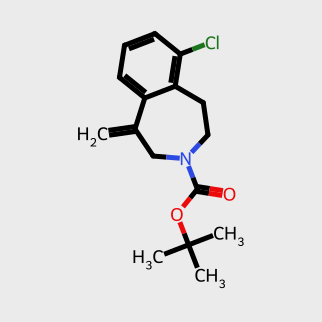 C=C1CN(C(=O)OC(C)(C)C)CCc2c(Cl)cccc21